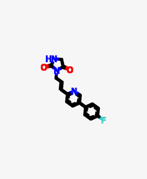 O=C1CNC(=O)N1CC=Cc1ccc(-c2ccc(F)cc2)cn1